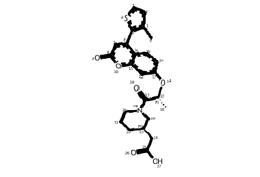 Cc1ccsc1-c1cc(=O)oc2cc(O[C@H](C)C(=O)N3CCC[C@H](CC(=O)O)C3)ccc12